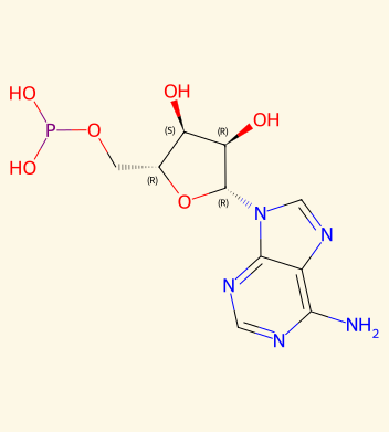 Nc1ncnc2c1ncn2[C@@H]1O[C@H](COP(O)O)[C@@H](O)[C@H]1O